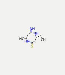 N#CCC1CC(=S)NC(C#N)CC(=N)N1